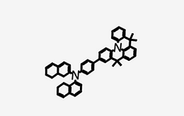 CC1(C)c2ccccc2N2c3ccc(-c4ccc(N(C5=CC=C6C=CCCC6C5)c5cccc6c5CCC=C6)cc4)cc3C(C)(C)c3cccc1c32